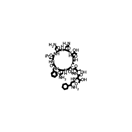 CC(C)C[C@@H]1NC(=O)[C@@H](Cc2ccccc2)NC(=O)[C@H](CCN)NC(=O)[C@@H](NC(=O)[C@@H](CO)NC(=O)C(NC(=O)CC(N)C2CCCCC2)C(C)O)CCNC(=O)C(C(C)O)NC(=O)[C@H](CCN)NC(=O)[C@H](CCN)NC1=O